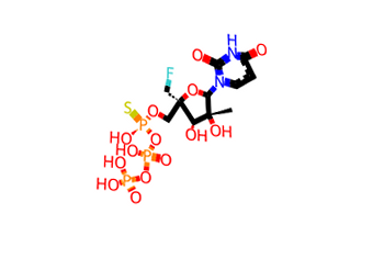 C[C@]1(O)C(n2ccc(=O)[nH]c2=O)O[C@](CF)(CO[P@](O)(=S)OP(=O)(O)OP(=O)(O)O)[C@H]1O